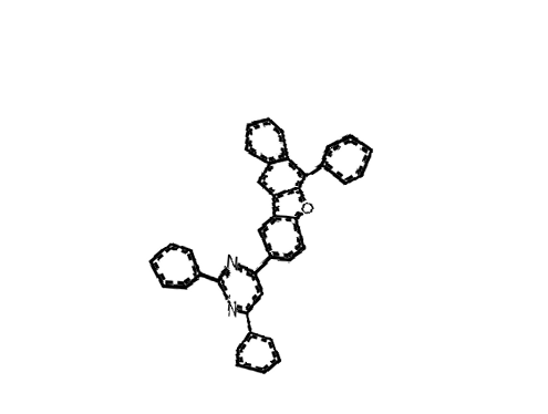 c1ccc(-c2cc(-c3ccc4oc5c(-c6ccccc6)c6ccccc6cc5c4c3)nc(-c3ccccc3)n2)cc1